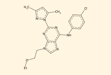 CCOCCn1cnc2c(Nc3ccc(Cl)cc3)nc(-n3nc(C)cc3C)nc21